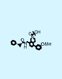 COc1cccc(-c2ccc(CNC(=O)[C@H]3C[C@@H]3c3ccccc3)c3c2CCN(C(=O)C(C)(C)O)C3)c1